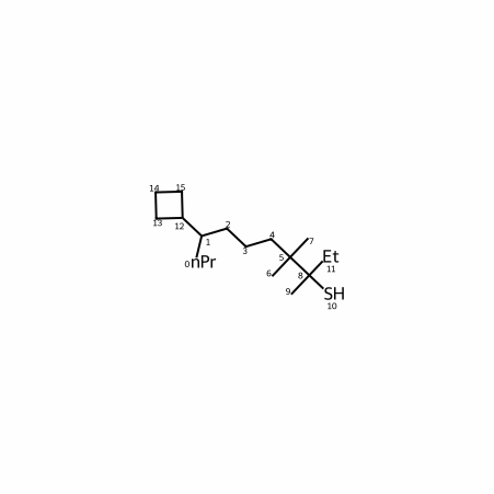 CCCC(CCCC(C)(C)C(C)(S)CC)C1CCC1